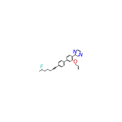 C=CCOc1cc(-c2ccc(C#CCCCC(C)F)cc2)ccc1-c1cnccn1